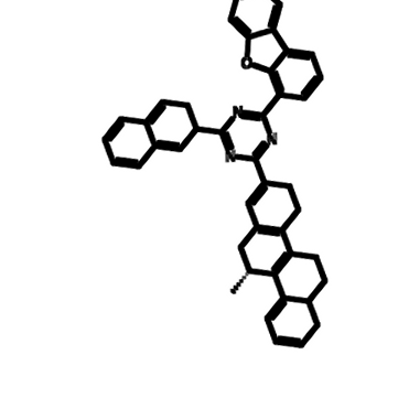 C[C@@H]1CC2=C(CCC(c3nc(-c4cccc5c4oc4ccccc45)nc(C4C=c5ccccc5=CC4)n3)=C2)C2=C1C1=CC=CCC1CC2